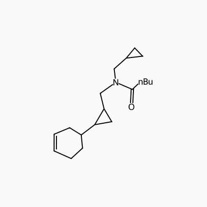 CCCCC(=O)N(CC1CC1)CC1CC1C1CC=CCC1